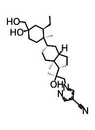 CC[C@@H]1C[C@@](O)(CO)CC[C@]1(C)[C@H]1CC[C@@]2(C)[C@@H](CC[C@@H]2[C@](C)(O)Cn2cc(C#N)cn2)C1